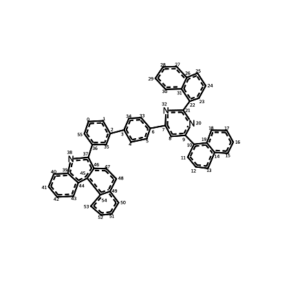 c1cc(-c2ccc(-c3cc(-c4cccc5ccccc45)nc(-c4cccc5ccccc45)n3)cc2)cc(-c2nc3ccccc3c3c2ccc2ccccc23)c1